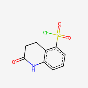 O=C1CCc2c(cccc2S(=O)(=O)Cl)N1